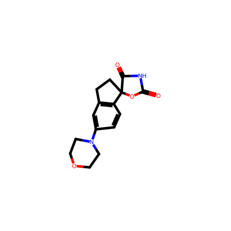 O=C1NC(=O)C2(CCc3cc(N4CCOCC4)ccc32)O1